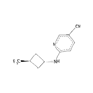 N#Cc1ccc(N[C@H]2C[C@H](C(F)(F)F)C2)nc1